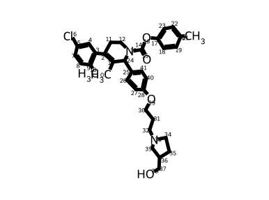 CC1=C(c2cc(Cl)ccc2C)CCN(C(=O)Oc2ccc(C)cc2)C1c1ccc(OCCCN2CCC(CO)C2)cc1